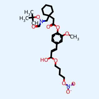 COc1cc(/C=C/C(O)OCCCCO[N+](=O)[O-])ccc1OC(=O)CC1(CN(C=O)OC(C)(C)C)CCCCC1